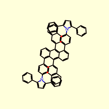 C1=Cc2ccc(-c3c4cccc(-c5ccc(-n6c(-c7ccccc7)ccc6-c6ccccc6)cc5)c4c(-c4ccc5ccccc5c4)c4cccc(-c5ccc(-n6c(-c7ccccc7)ccc6-c6ccccc6)cc5)c34)cc2CC1